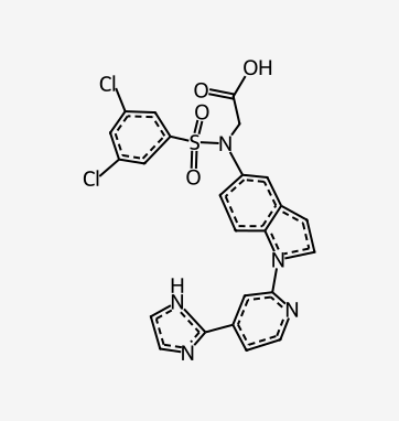 O=C(O)CN(c1ccc2c(ccn2-c2cc(-c3ncc[nH]3)ccn2)c1)S(=O)(=O)c1cc(Cl)cc(Cl)c1